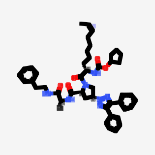 C/C=C\CCCCC[C@H](NC(=O)OC1CCCC1)C(=O)N1C[C@H](n2nc(-c3ccccc3)c(-c3ccccc3)n2)C[C@H]1C(=O)N[C@@H](CC)C(=O)NCCc1ccccc1